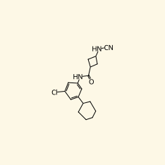 N#CNC1CC(C(=O)Nc2cc(Cl)cc(C3CCCCC3)c2)C1